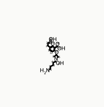 NCCCCC(O)N1CC(Oc2ccc3c(c2C(=O)O)OB(O)CC3)C1